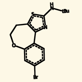 CC(C)(C)Nc1nc2c(s1)CCOc1cc(Br)ccc1-2